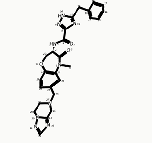 CN1C(=O)[C@@H](NC(=O)c2n[nH]c(Cc3ccccc3)n2)COc2ccc(CN3CCn4ncnc4C3)cc21